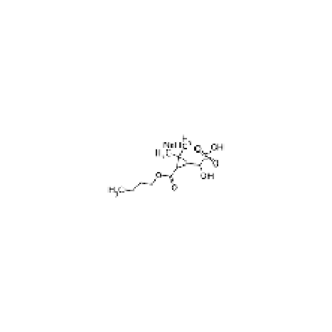 CCCCOC(=O)C1C(C(O)S(=O)(=O)O)C1(C)C.[NaH]